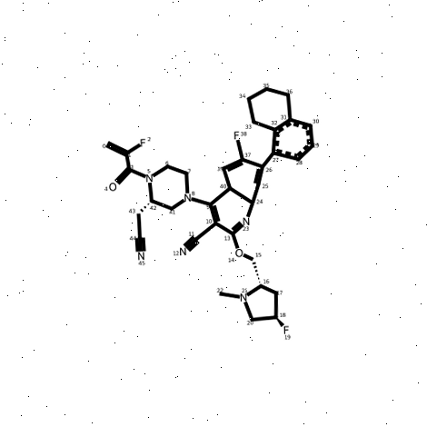 C=C(F)C(=O)N1CCN(C2=C(C#N)C(OC[C@@H]3C[C@@H](F)CN3C)=NC3C=C(c4cccc5c4CCCC5)C(F)=CC23)C[C@@H]1CC#N